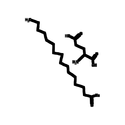 CCCCCCCCCCCCCCC[C](=O)[Na].NC(CCC(=O)O)C(=O)O